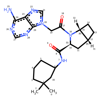 CC1(C)CCCC(NC(=O)[C@@H]2C[C@H]3CC[C@H]3N2C(=O)Cn2cnc3c(N)ncnc32)C1